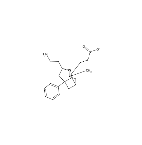 CC1(CO[N+](=O)[O-])C=C2CC3(c4ccccc4)CC(CCN)(CC23)C1